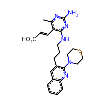 Cc1nc(N)nc(NCCCc2cc3ccccc3nc2N2CCSCC2)c1C=CC(=O)O